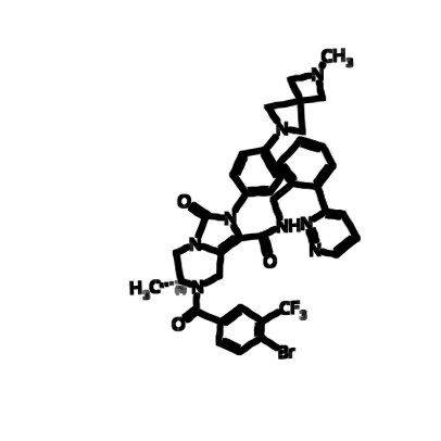 C[C@@H]1Cn2c(c(C(=O)NCc3ccccc3-c3cccnn3)n(-c3ccc(N4CC5(CN(C)C5)C4)cc3)c2=O)CN1C(=O)c1ccc(Br)c(C(F)(F)F)c1